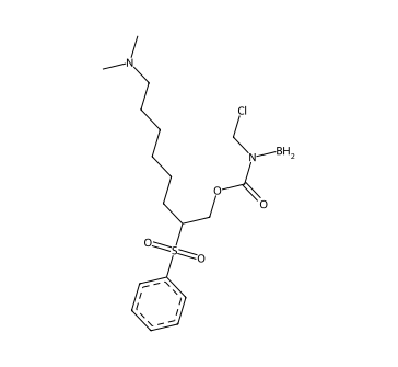 BN(CCl)C(=O)OCC(CCCCCCN(C)C)S(=O)(=O)c1ccccc1